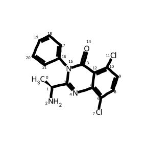 C[C@H](N)c1nc2c(Cl)ccc(Cl)c2c(=O)n1-c1ccccc1